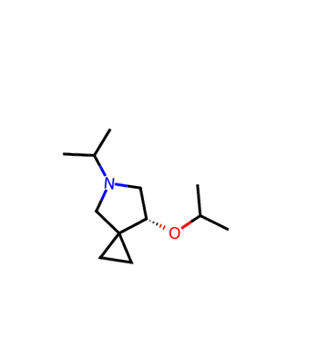 CC(C)O[C@H]1CN(C(C)C)CC12CC2